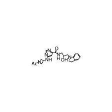 CC(=O)N1CC(Nc2cc(C(=O)NCC(O)CN3CCc4ccccc43)ncn2)C1